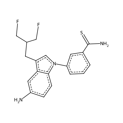 NC(=S)c1cccc(-n2cc(CC(CF)CF)c3cc(N)ccc32)c1